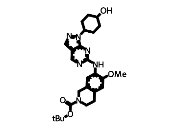 COc1cc2c(cc1Nc1ncc3cnn(C4CCC(O)CC4)c3n1)CN(C(=O)OC(C)(C)C)CC2